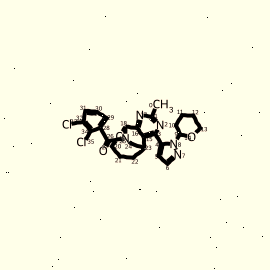 Cc1nc(-c2ccnn2C2CCCCO2)c2c(n1)C1CCCCC2CN1C(=O)c1cccc(Cl)c1Cl